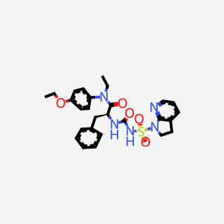 CCOc1ccc(N(CC)C(=O)[C@H](Cc2ccccc2)NC(=O)NS(=O)(=O)N2CCc3cccnc32)cc1